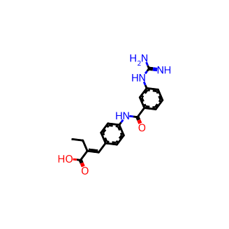 CC/C(=C\c1ccc(NC(=O)c2cccc(NC(=N)N)c2)cc1)C(=O)O